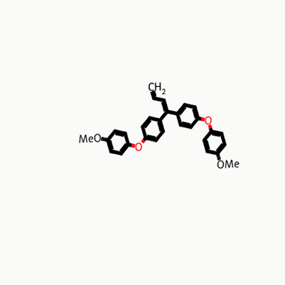 C=CC=C(c1ccc(Oc2ccc(OC)cc2)cc1)c1ccc(Oc2ccc(OC)cc2)cc1